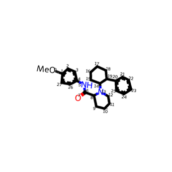 COc1ccc(NC(=O)C2C[CH]CCN2C2CCCCC2c2ccccc2)cc1